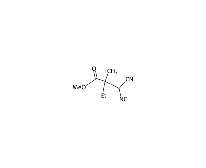 [C-]#[N+]C(C#N)C(C)(CC)C(=O)OC